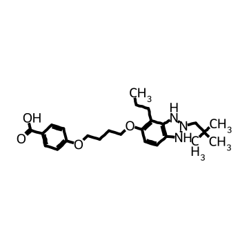 CCCc1c(OCCCCOc2ccc(C(=O)O)cc2)ccc2c1NN(CC(C)(C)C)N2